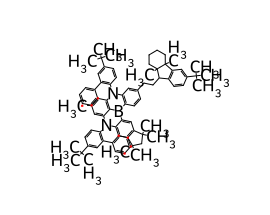 Cc1cc2c3c(c1)N(c1ccc(C(C)(C)C)cc1-c1ccccc1)c1cc4c(cc1B3c1ccc(CCC3c5ccc(C(C)(C)C)cc5C5(C)CCCCC35C)cc1N2c1ccc(C(C)(C)C)cc1-c1ccccc1)C(C)(C)CC4(C)C